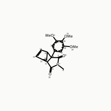 COc1cc(C23C(=O)N(C)C(=O)C2C2C=CC3C2)cc(OC)c1OC